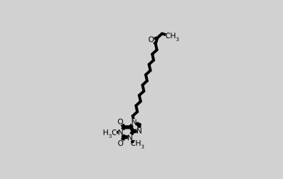 CCC1OC1CCCCCCCCCCCCCCn1cnc2c1c(=O)n(C)c(=O)n2C